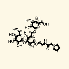 O=C(CN1CCCC1)NCCO[C@H]1OC(CO[C@H]2OC(CO)[C@@H](O)C(O)C2O)[C@@H](O)C(O[C@H]2OC(CO)[C@@H](O)C(O)C2O)C1O